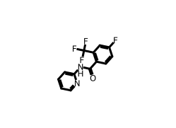 O=C(Nc1ccccn1)c1ccc(F)cc1C(F)(F)F